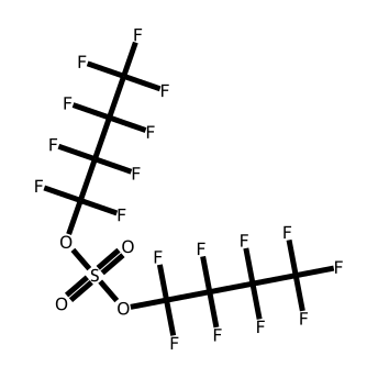 O=S(=O)(OC(F)(F)C(F)(F)C(F)(F)C(F)(F)F)OC(F)(F)C(F)(F)C(F)(F)C(F)(F)F